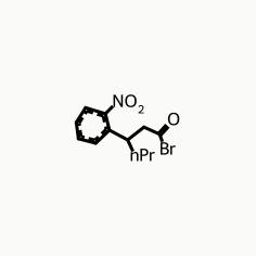 CCCC(CC(=O)Br)c1ccccc1[N+](=O)[O-]